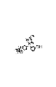 C=C(C)CN1C[C@@H](C)N(C(c2ccc(S(=O)(=O)N(CC)CC)cc2)c2cccc(O)c2)C[C@@H]1C